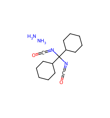 N.N.O=C=NC(N=C=O)(C1CCCCC1)C1CCCCC1